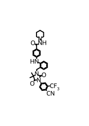 CC1(C)C(=O)N(c2ccc(C#N)c(C(F)(F)F)c2)C(=O)N1Cc1ccccc1Nc1ccc(C(=O)NN2CCCCC2)cc1